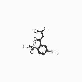 Nc1ccc(S(=O)(=O)O)c(C(=O)CC(Cl)Cl)c1